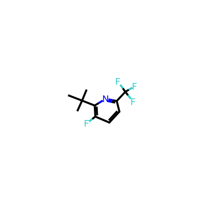 CC(C)(C)c1nc(C(F)(F)F)ccc1F